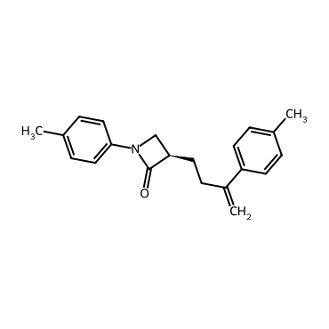 C=C(CC[C@@H]1CN(c2ccc(C)cc2)C1=O)c1ccc(C)cc1